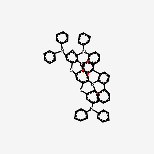 c1ccc(-c2cccc(-c3ccccc3)c2B2c3ccc(N(c4ccccc4)c4ccccc4)cc3Sc3cc4c(cc32)B2c3ccccc3N(c3ccccc3)c3cc(N(c5ccccc5)c5ccccc5)cc(c32)S4)cc1